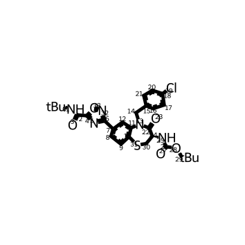 CC(C)(C)NC(=O)c1nc(-c2ccc3c(c2)N(Cc2ccc(Cl)cc2)C(=O)[C@@H](NC(=O)OC(C)(C)C)CS3)no1